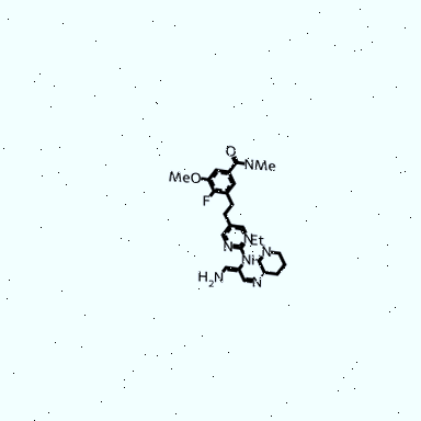 CCN1CCC[C@H](/N=C\C(=C/N)Nc2ncc(CCc3cc(C(=O)NC)cc(OC)c3F)cn2)C1